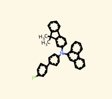 CC1(C)c2ccccc2-c2ccc(N(c3ccc(-c4ccc(F)cc4)cc3)c3cc4ccccc4c4ccccc34)cc21